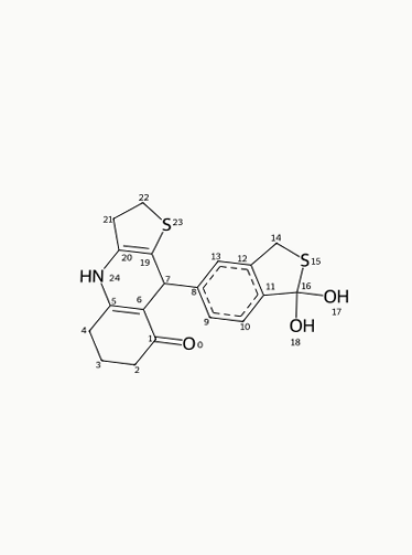 O=C1CCCC2=C1C(c1ccc3c(c1)CSC3(O)O)C1=C(CCS1)N2